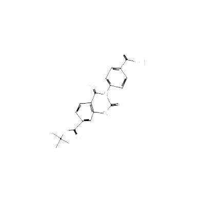 CC(C)(C)OC(=O)c1ccc2c(=O)n(-c3ccc(C(=O)O)cc3)c(=O)[nH]c2c1